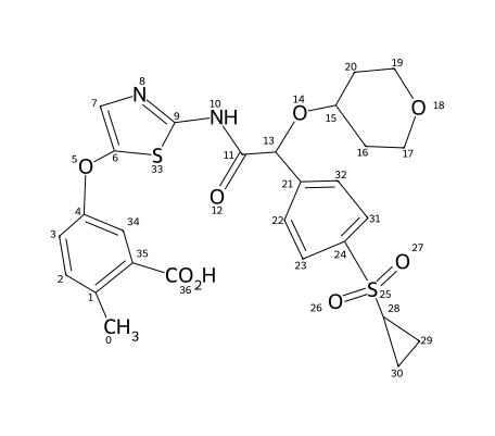 Cc1ccc(Oc2cnc(NC(=O)C(OC3CCOCC3)c3ccc(S(=O)(=O)C4CC4)cc3)s2)cc1C(=O)O